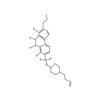 C=CCCC1CCC(OC(F)(F)c2ccc3c(c2F)C(F)C(F)c2c-3ccc(CCC)c2F)CC1